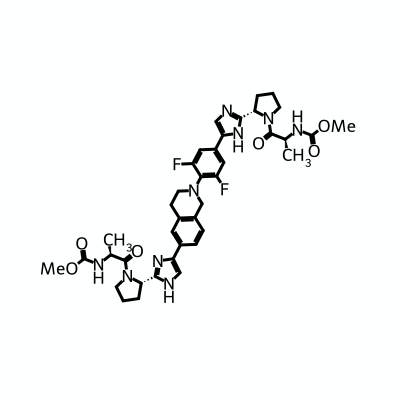 COC(=O)N[C@@H](C)C(=O)N1CCC[C@H]1c1nc(-c2ccc3c(c2)CCN(c2c(F)cc(-c4cnc([C@@H]5CCCN5C(=O)[C@H](C)NC(=O)OC)[nH]4)cc2F)C3)c[nH]1